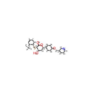 CC(C)(C)c1ccccc1Sc1c(O)cc(-c2ccc(OCc3cccnc3)cc2)oc1=O